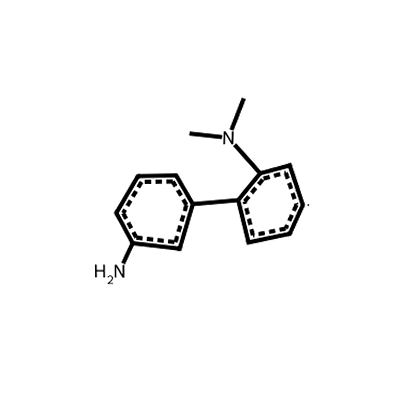 CN(C)c1c[c]ccc1-c1cccc(N)c1